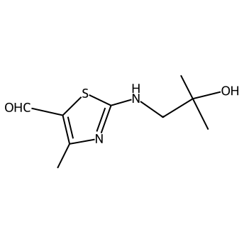 Cc1nc(NCC(C)(C)O)sc1C=O